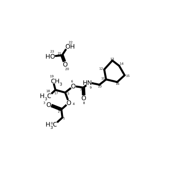 CCC(=O)OC(OC(=O)NCC1CCCCC1)C(C)C.O=C(O)O